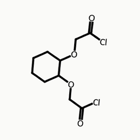 O=C(Cl)COC1CCCCC1OCC(=O)Cl